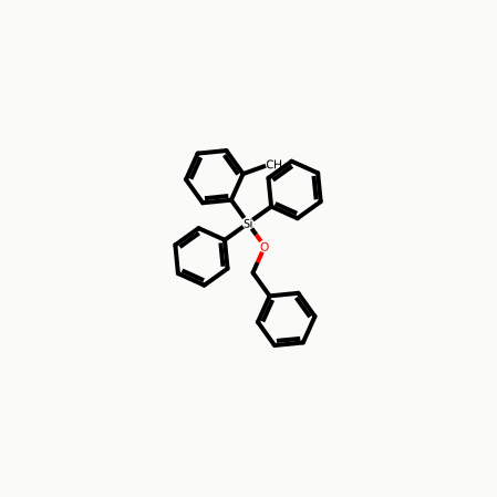 Cc1ccccc1[Si](OCc1ccccc1)(c1ccccc1)c1ccccc1